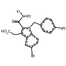 CCN(CC)C(=O)c1c(CC(=O)O)c2cc(Br)ccc2n1Cc1ccc(C(C)C)cc1